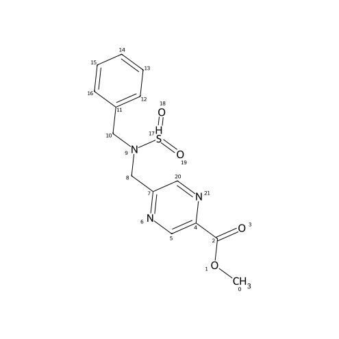 COC(=O)c1cnc(CN(Cc2ccccc2)[SH](=O)=O)cn1